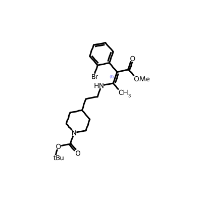 COC(=O)/C(=C(\C)NCCC1CCN(C(=O)OC(C)(C)C)CC1)c1ccccc1Br